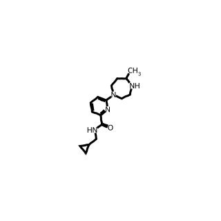 CC1CCN(c2cccc(C(=O)NCC3CC3)n2)CCN1